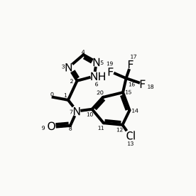 CC(c1ncn[nH]1)N(C=O)c1cc(Cl)cc(C(F)(F)F)c1